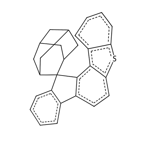 c1ccc2c(c1)-c1ccc3sc4ccccc4c3c1C21C2CC3CC(C2)CC1C3